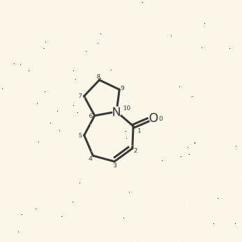 O=C1C=CCCC2CCCN12